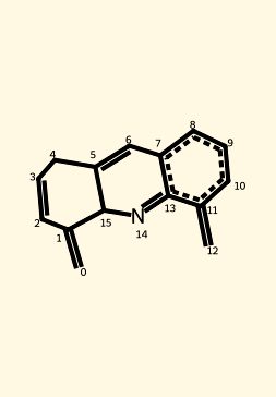 C=C1C=CCC2=Cc3cccc(=C)c3=NC12